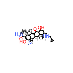 COC1=C2C(=O)C3=C(O)CC(CNCC4CC4)C(C(F)(F)F)=C3C[C@H]2C[C@H]2[C@H](N(C)C)C(O)=C(C(N)=O)C[C@@]12OC